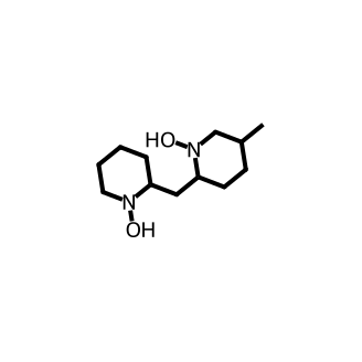 CC1CCC(CC2CCCCN2O)N(O)C1